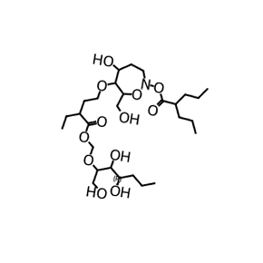 CCCC(CCC)C(=O)ON1CCC(O)C(OCCC(CC)C(=O)OCOC(CO)C(O)[C@H](O)CCC)C(CO)O1